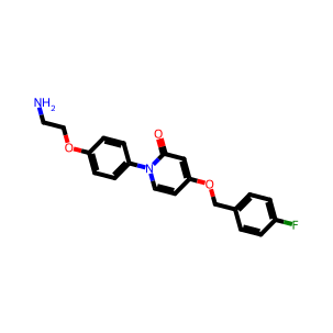 NCCOc1ccc(-n2ccc(OCc3ccc(F)cc3)cc2=O)cc1